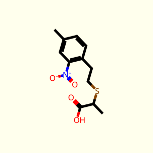 Cc1ccc(CCSC(C)C(=O)O)c([N+](=O)[O-])c1